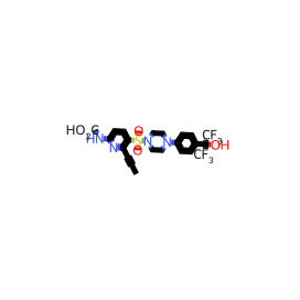 CC#Cc1nc(NC(=O)O)ccc1S(=O)(=O)N1CCN(c2ccc(C(O)(C(F)(F)F)C(F)(F)F)cc2)CC1